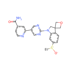 CC[S+]([O-])c1ccc2c(c1)N(c1ncc(-c3cc(C(N)=O)ccn3)cn1)CC21COC1